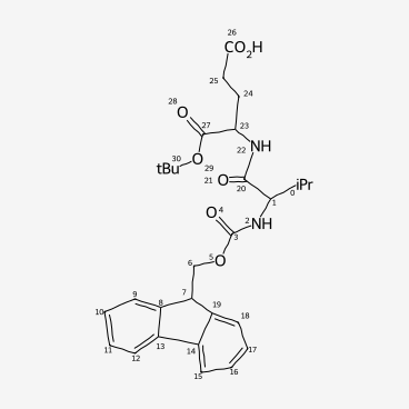 CC(C)C(NC(=O)OCC1c2ccccc2-c2ccccc21)C(=O)NC(CCC(=O)O)C(=O)OC(C)(C)C